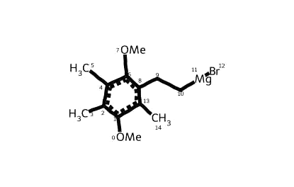 COc1c(C)c(C)c(OC)c(C[CH2][Mg][Br])c1C